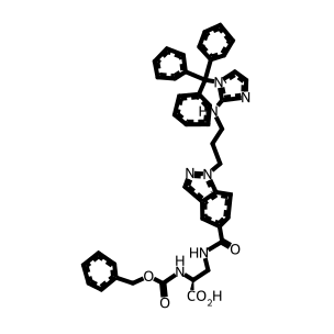 O=C(N[C@@H](CNC(=O)c1ccc2c(cnn2CCCNc2nccn2C(c2ccccc2)(c2ccccc2)c2ccccc2)c1)C(=O)O)OCc1ccccc1